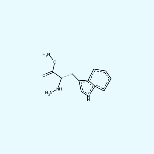 NN[C@@H](Cc1c[nH]c2ccccc12)C(=O)ON